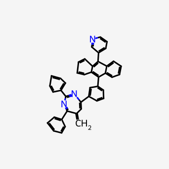 C=C1C=C(c2cccc(-c3c4ccccc4c(-c4cccnc4)c4ccccc34)c2)N=C(c2ccccc2)N=C1c1ccccc1